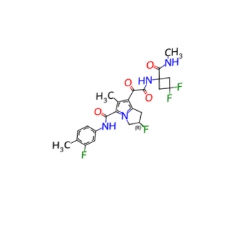 CNC(=O)C1(NC(=O)C(=O)c2c(C)c(C(=O)Nc3ccc(C)c(F)c3)n3c2C[C@@H](F)C3)CC(F)(F)C1